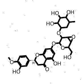 COc1ccc([C@H]2CC(=O)c3c(O)cc(OC4OC(CO)C5OC5C4OC4CC(C)C(O)C(O)C4O)cc3O2)cc1O